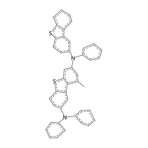 Cc1cc(N(c2ccccc2)c2ccc3sc4ccccc4c3c2)cc2sc3ccc(N(c4ccccc4)c4ccccc4)cc3c12